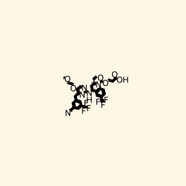 CC[C@@H]1C[C@H](Nc2ncc(OCCOC)c(Cc3cc(C#N)cc(C(F)(F)F)c3)n2)c2cc(C(F)(F)F)ccc2N1C(=O)OCCC(=O)O